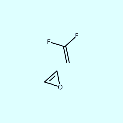 C1=CO1.C=C(F)F